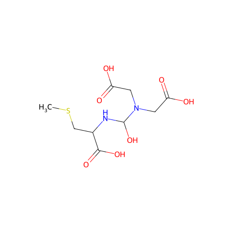 CSCC(NC(O)N(CC(=O)O)CC(=O)O)C(=O)O